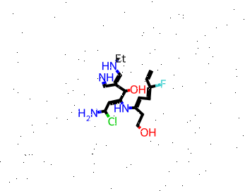 C=C/C(F)=C\C=C(/CCO)N/C(=C\C(N)Cl)C(O)/C(C=N)=C/NCC